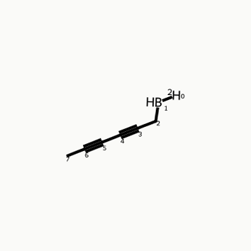 [2H]BCC#CC#CC